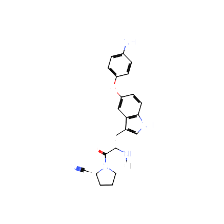 CN[C@@H](Cc1c[nH]c2ccc(Oc3ccc(N)cc3)cc12)C(=O)N1CCC[C@H]1C#N